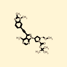 COC[C@H]1C[C@H](n2nc(C#Cc3ccc4nc(C)n(C)c4c3)c3c(N)ncnc32)CN1C(=O)OC(C)(C)C